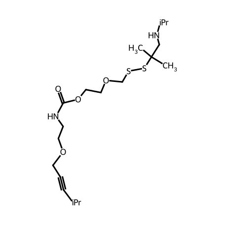 CC(C)C#CCOCCNC(=O)OCCOCSSC(C)(C)CNC(C)C